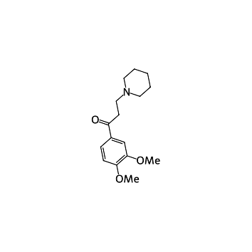 COc1ccc(C(=O)CCN2CCCCC2)cc1OC